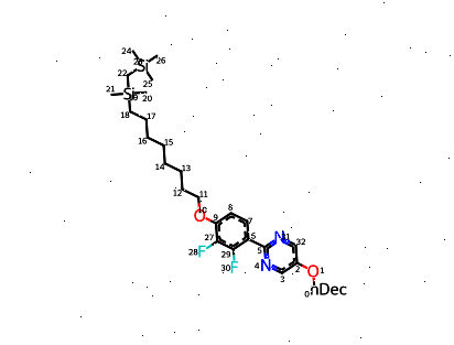 CCCCCCCCCCOc1cnc(-c2ccc(OCCCCCCCC[Si](C)(C)C[Si](C)(C)C)c(F)c2F)nc1